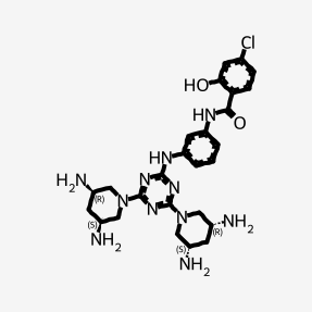 N[C@@H]1C[C@H](N)CN(c2nc(Nc3cccc(NC(=O)c4ccc(Cl)cc4O)c3)nc(N3C[C@H](N)C[C@H](N)C3)n2)C1